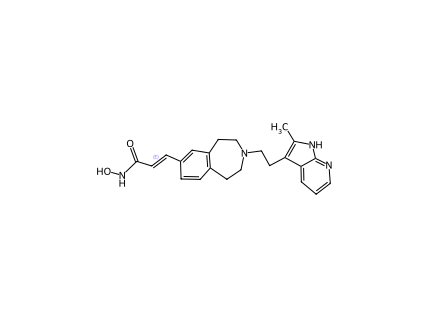 Cc1[nH]c2ncccc2c1CCN1CCc2ccc(/C=C/C(=O)NO)cc2CC1